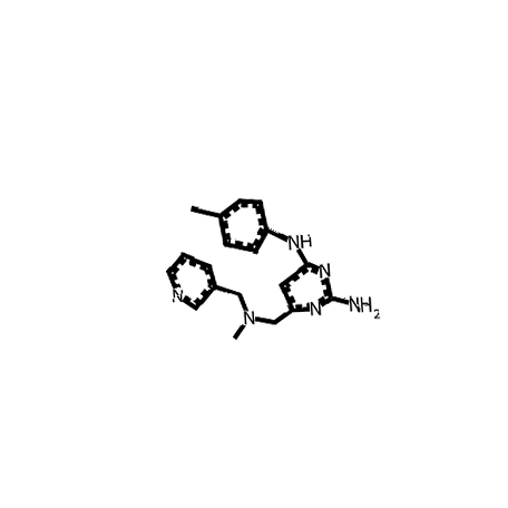 Cc1ccc(Nc2cc(CN(C)Cc3cccnc3)nc(N)n2)cc1